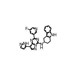 Fc1cncc(-c2nc(N[C@@H]3CCc4[nH]c5ccccc5c4C3)n3ncc(-c4ccn[nH]4)c3n2)c1